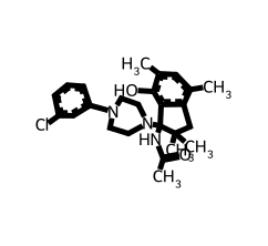 CC(=O)NC1(N2CCN(c3cccc(Cl)c3)CC2)c2c(O)c(C)cc(C)c2CC1(C)C